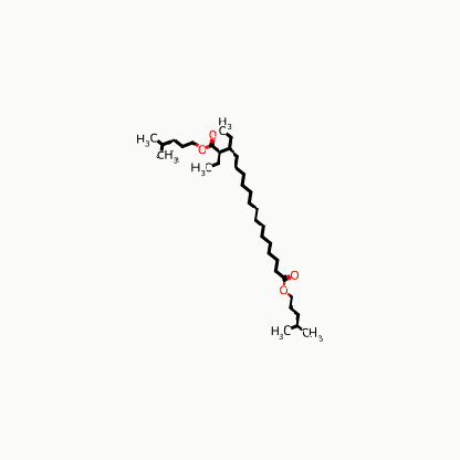 CCC(CCCCCCCCCCCCCCC(=O)OCCCC(C)C)C(CC)C(=O)OCCCC(C)C